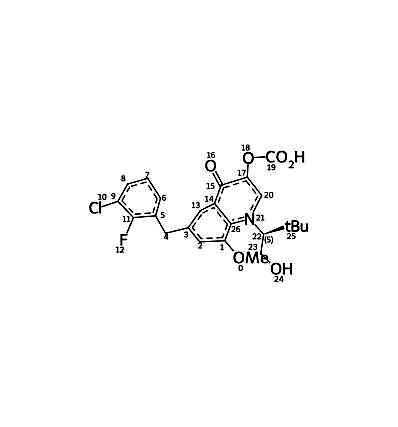 COc1cc(Cc2cccc(Cl)c2F)cc2c(=O)c(OC(=O)O)cn([C@H](CO)C(C)(C)C)c12